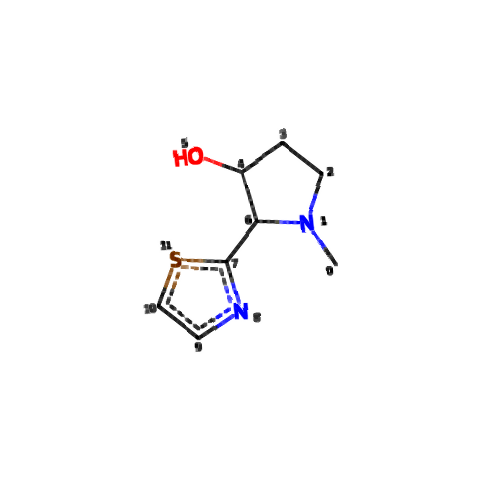 CN1CCC(O)C1c1nccs1